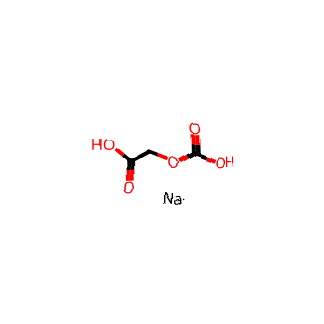 O=C(O)COC(=O)O.[Na]